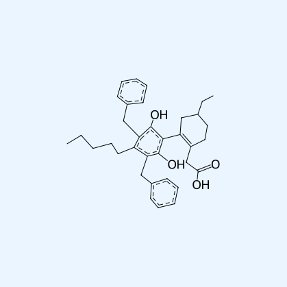 CCCCCc1c(Cc2ccccc2)c(O)c(C2=C(CC(=O)O)CCC(CC)C2)c(O)c1Cc1ccccc1